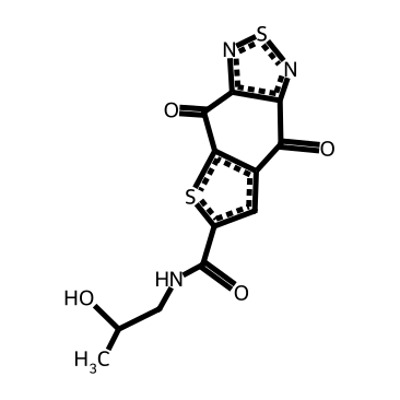 CC(O)CNC(=O)c1cc2c(s1)C(=O)c1nsnc1C2=O